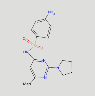 CNc1cc(NS(=O)(=O)c2ccc(N)cc2)nc(N2CCCC2)n1